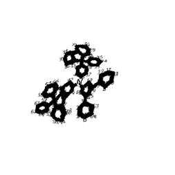 c1ccc(-c2cc(-c3ccccc3)cc(N(c3ccc(C4(c5ccccc5)c5ccccc5-c5ccccc54)cc3)c3ccc4c(c3)-c3ccccc3C4(c3ccccc3)c3ccccc3)c2)cc1